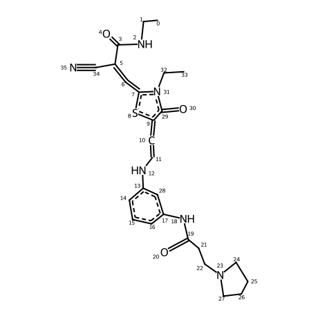 CCNC(=O)C(=C=c1sc(=C=CNc2cccc(NC(=O)CCN3CCCC3)c2)c(=O)n1CC)C#N